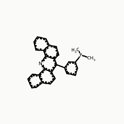 CP(C)c1cccc(-c2c3ccc4ccccc4c3nc3c2ccc2ccccc23)c1